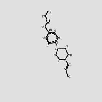 CC=C[C@H]1CC[C@H](c2ccc(COCC)cc2)CC1